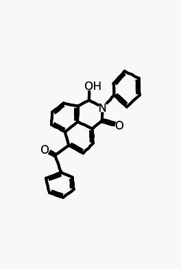 O=C(c1ccccc1)c1ccc2c3c(cccc13)C(O)N(c1ccccc1)C2=O